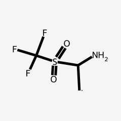 [CH2]C(N)S(=O)(=O)C(F)(F)F